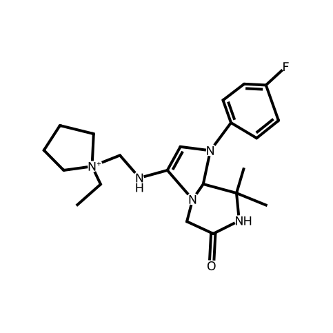 CC[N+]1(CNC2=CN(c3ccc(F)cc3)C3N2CC(=O)NC3(C)C)CCCC1